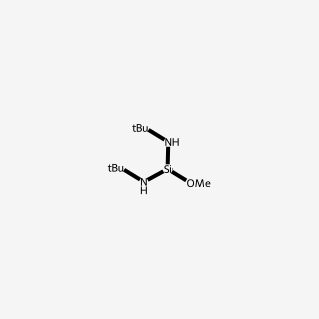 CO[Si](NC(C)(C)C)NC(C)(C)C